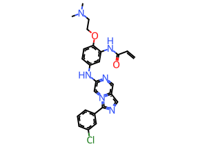 C=CC(=O)Nc1cc(Nc2cn3c(-c4cccc(Cl)c4)ncc3cn2)ccc1OCCN(C)C